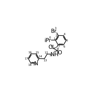 CC(C)c1c(Br)cccc1S(=O)(=O)NCCc1ccccn1